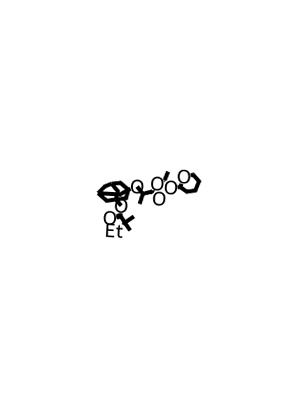 CCC(C)(C)C(=O)OC12CC3CC(C1)CC(OC(C)C(=O)OC(C)OC1CCCCO1)(C3)C2